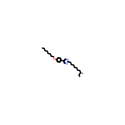 CCCCCCCCOc1ccc(-c2cnc(CCCCCCC[C@@H](C)CC)nc2)cc1